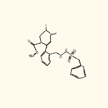 CC(C)(C)OC(=O)N1CC(F)N(F)CC1c1ccccc1CNNS(=O)(=O)Cc1ccccc1